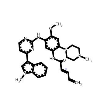 C=C/C=C/C(=O)Nc1cc(Nc2nccc(-c3cn(C)c4ccccc34)n2)c(OC)cc1N1CCN(C)CC1